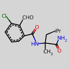 CC(C)CC(C)(NC(=O)c1cccc(Cl)c1C=O)C(N)=O